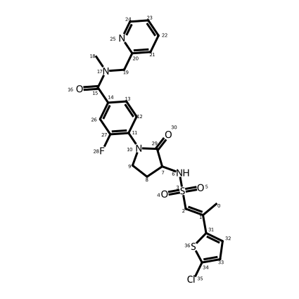 C/C(=C\S(=O)(=O)NC1CCN(c2ccc(C(=O)N(C)Cc3ccccn3)cc2F)C1=O)c1ccc(Cl)s1